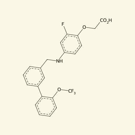 O=C(O)COc1ccc(NCc2cccc(-c3ccccc3OC(F)(F)F)c2)cc1F